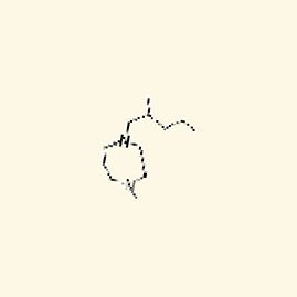 CCCC(C)CN1CCCN(C)CC1